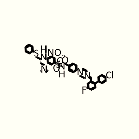 CN(C)CC[C@H](CSc1ccccc1)Nc1ccc(S(=O)(=O)NC(=O)c2ccc(N3CCN(Cc4cc(F)ccc4-c4ccc(Cl)cc4)CC3)cc2)cc1[N+](=O)[O-]